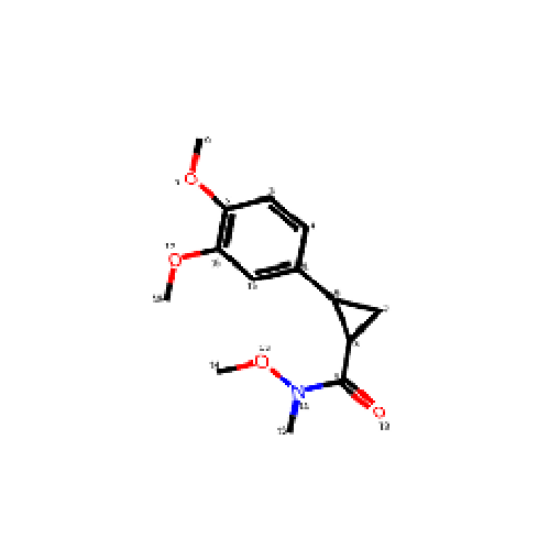 COc1ccc(C2CC2C(=O)N(C)OC)cc1OC